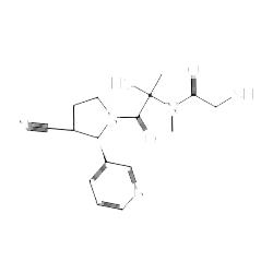 CN(C(=O)CS)C(C)(S)C(=O)N1CC[C@](C)(C#N)[C@@H]1c1cccnc1